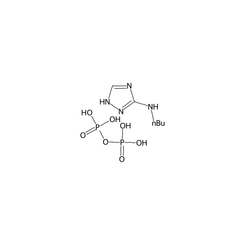 CCCCNc1nc[nH]n1.O=P(O)(O)OP(=O)(O)O